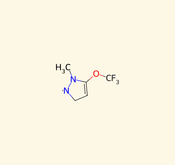 CN1[N]CC=C1OC(F)(F)F